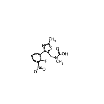 Cc1nc(-c2cccc([N+](=O)[O-])c2F)c(CN(C)C(=O)O)s1